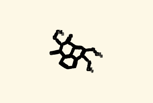 COc1cc2c3c(cccc3c1OC)C(=O)N(OC)C2=O